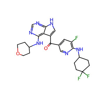 O=C(c1cnc(NC2CCC(F)(F)CC2)c(F)c1)c1c[nH]c2ncnc(NC3CCOCC3)c12